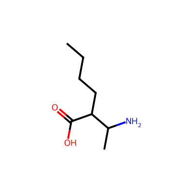 CCCCC(C(=O)O)C(C)N